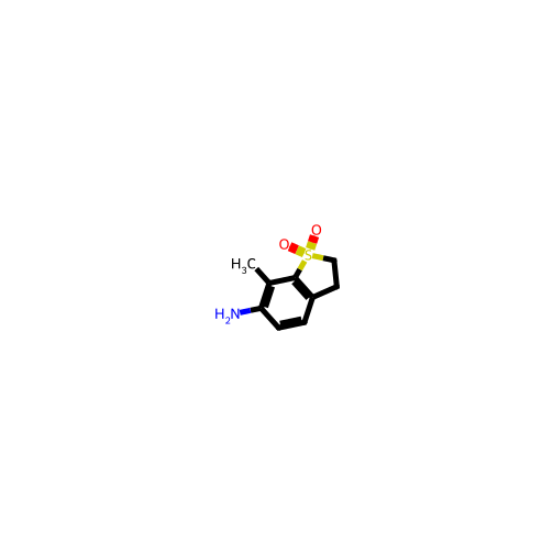 Cc1c(N)ccc2c1S(=O)(=O)CC2